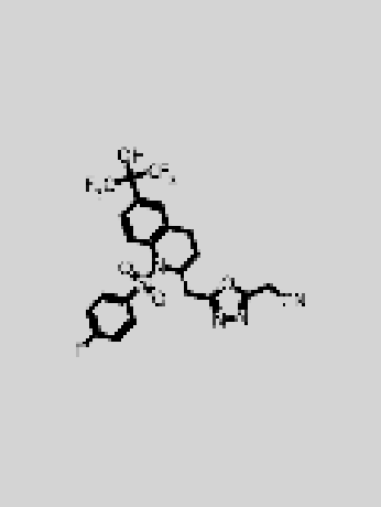 N#CCc1nnc(C[C@@H]2CCc3cc(C(O)(C(F)(F)F)C(F)(F)F)ccc3N2S(=O)(=O)c2ccc(F)cc2)o1